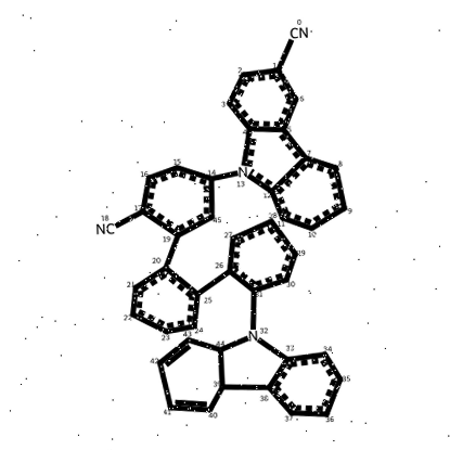 N#Cc1ccc2c(c1)c1ccccc1n2-c1ccc(C#N)c(-c2ccccc2-c2ccccc2N2c3ccccc3C3C=CC=CC32)c1